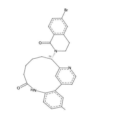 O=C1CCCC[C@H](N2CCc3cc(Br)ccc3C2=O)c2cc(ccn2)-c2cc(F)ccc2N1